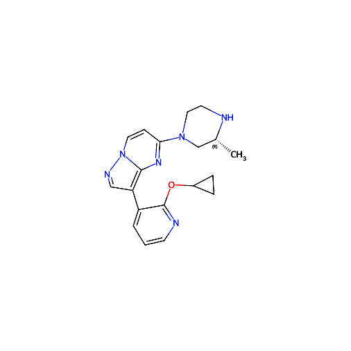 C[C@@H]1CN(c2ccn3ncc(-c4cccnc4OC4CC4)c3n2)CCN1